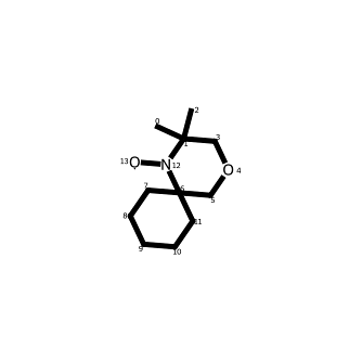 CC1(C)COCC2(CCCCC2)N1[O]